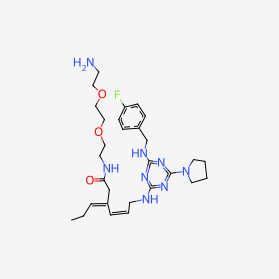 CC/C=C(\C=C/CNc1nc(NCc2ccc(F)cc2)nc(N2CCCC2)n1)CC(=O)NCCOCCOCCN